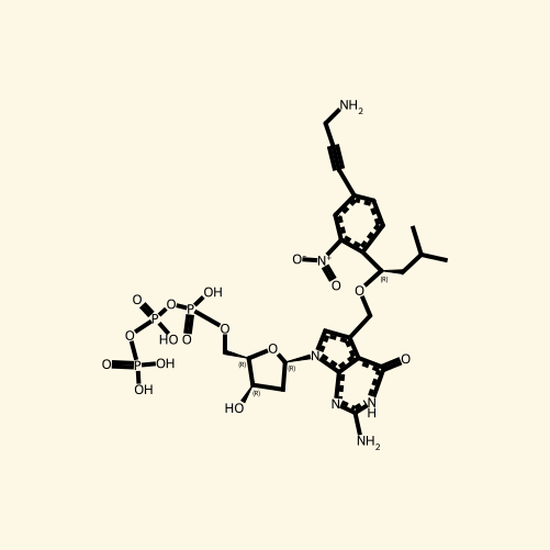 CC(C)C[C@@H](OCc1cn([C@H]2C[C@@H](O)[C@@H](COP(=O)(O)OP(=O)(O)OP(=O)(O)O)O2)c2nc(N)[nH]c(=O)c12)c1ccc(C#CCN)cc1[N+](=O)[O-]